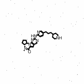 CN(C)C(=O)c1cc2cnc(Nc3ccc(CCCC4CCNCC4)cn3)nc2n1C1CCCC1